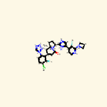 O=C1C=C(c2c(-n3cnnn3)ccc(Cl)c2F)C[C@H]2CC[C@@H](c3ncc(-c4ccnc(N5CCC5)c4F)[nH]3)N12